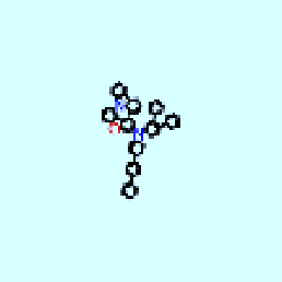 c1ccc(-c2ccc(-c3ccc(N(c4ccc(-c5ccccc5)c(-c5ccccc5)c4)c4ccc5c(c4)oc4cccc(-n6c7ccccc7c7ccccc76)c45)cc3)cc2)cc1